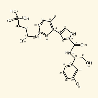 CC[C@H](COP(=O)(O)O)Nc1ncc(C)c(-c2c[nH]c(C(=O)N[C@H](CO)c3cccc(Cl)c3)c2)n1